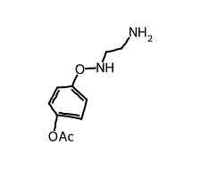 CC(=O)Oc1ccc(ONCCN)cc1